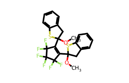 COC1(C2=C(C3(OC)Cc4ccccc4S3)C(F)(F)C(F)(F)C2(F)F)Cc2ccccc2S1